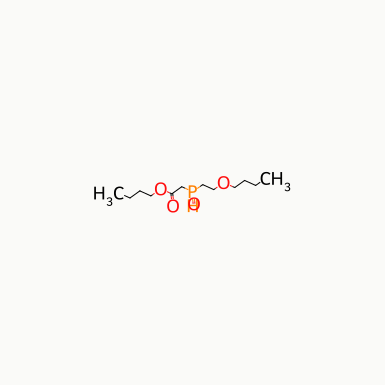 CCCCOCC[PH](=O)CC(=O)OCCCC